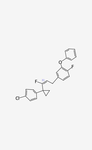 F/C(=C/Cc1ccc(F)c(Oc2ccccc2)c1)C1(c2ccc(Cl)cc2)CC1